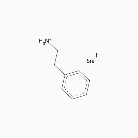 [I-].[NH3+]CCc1ccccc1.[Sn]